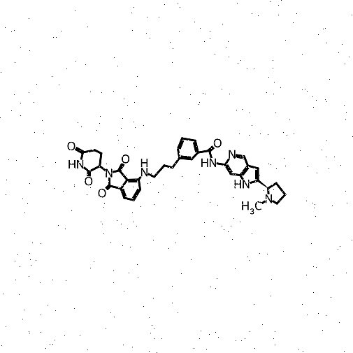 CN1CCC[C@@H]1c1cc2cnc(NC(=O)c3cccc(CCCNc4cccc5c4C(=O)N(C4CCC(=O)NC4=O)C5=O)c3)cc2[nH]1